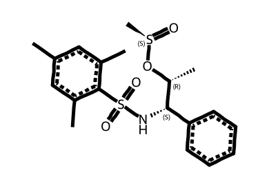 Cc1cc(C)c(S(=O)(=O)N[C@@H](c2ccccc2)[C@@H](C)O[S@@](C)=O)c(C)c1